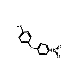 O=[SH](=O)c1ccc(Oc2ccc(S)cc2)cc1